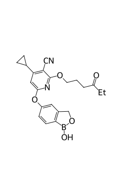 CCC(=O)CCCOc1nc(Oc2ccc3c(c2)COB3O)cc(C2CC2)c1C#N